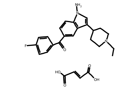 CCN1CCC(c2cn(N)c3ccc(C(=O)c4ccc(F)cc4)cc23)CC1.O=C(O)/C=C/C(=O)O